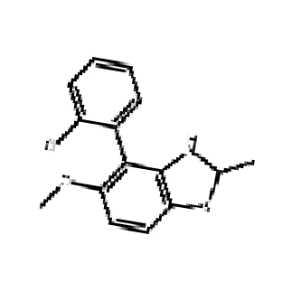 COc1ccc2c(c1-c1ccccc1Cl)NC(C)S2